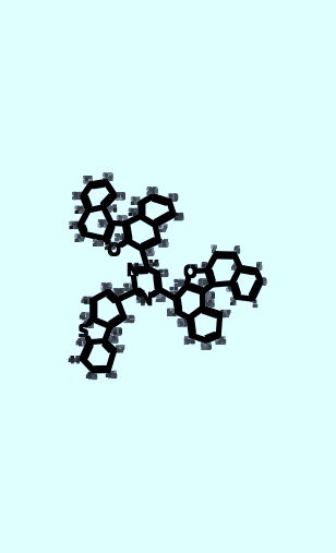 c1ccc2c(c1)ccc1oc3c(-c4cc(-c5cc6ccccc6c6c5oc5ccc7ccccc7c56)nc(-c5ccc6sc7ccccc7c6c5)n4)cc4ccccc4c3c12